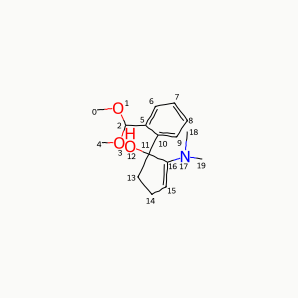 COC(OC)c1ccccc1C1(O)CCC=C1N(C)C